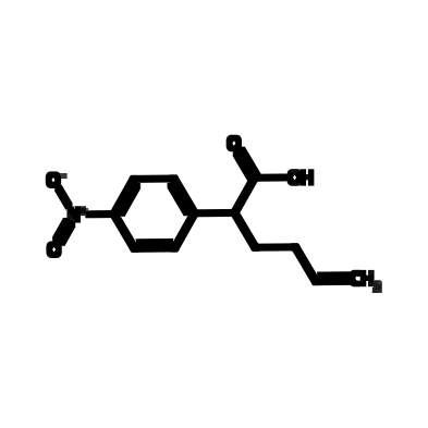 C=CCCC(C(=O)O)c1ccc([N+](=O)[O-])cc1